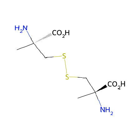 C[C@@](N)(CSSC[C@@](C)(N)C(=O)O)C(=O)O